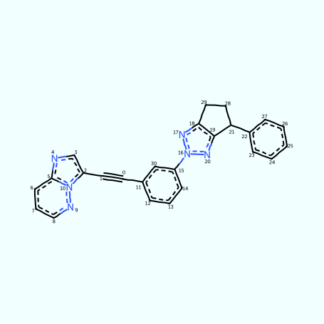 C(#Cc1cnc2cccnn12)c1cccc(-n2nc3c(n2)C(c2ccccc2)CC3)c1